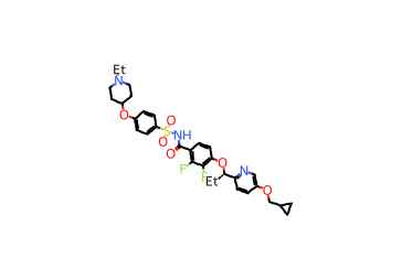 CC[C@@H](Oc1ccc(C(=O)NS(=O)(=O)c2ccc(OC3CCN(CC)CC3)cc2)c(F)c1F)c1ccc(OCC2CC2)cn1